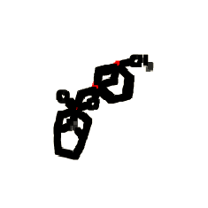 CCCCOC(=O)N1C2CCC1CN(Cc1ccccc1)C2